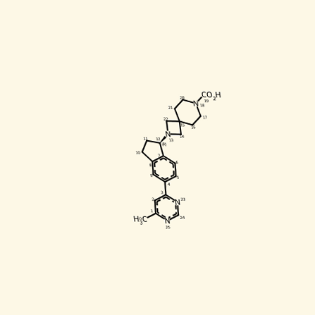 Cc1cc(-c2ccc3c(c2)CC[C@H]3N2CC3(CCN(C(=O)O)CC3)C2)ncn1